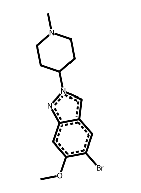 COc1cc2nn(C3CCN(C)CC3)cc2cc1Br